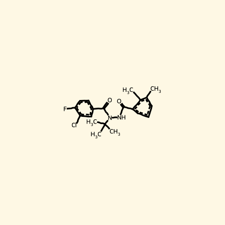 Cc1cccc(C(=O)NN(C(=O)c2ccc(F)c(Cl)c2)C(C)(C)C)c1C